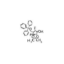 CC1(C)OC2[C@H](O1)C(COC(c1ccccc1)(c1ccccc1)c1ccccc1)=C(F)[C@@H]2O